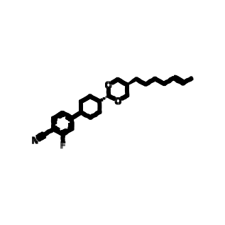 C/C=C/CCCC[C@H]1CO[C@H](C2CCC(c3ccc(C#N)c(F)c3)CC2)OC1